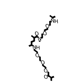 CC(C)NCCOCCOCCN(C)C(=O)C(C)CCC(C)NCCOCCOCCOCC(=O)C(C)C